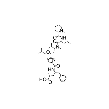 C=C(C)CO[C@H](C[C@H](C(C)C)N(C)C(=O)[C@@H](NC(=O)[C@H]1CCCCN1C)[C@@H](C)CC)c1nc(C(=O)NC(Cc2ccccc2)CC(C)C(=O)O)cs1